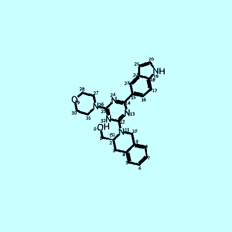 OC[C@@H]1Cc2ccccc2CN1c1nc(-c2ccc3[nH]ccc3c2)nc(N2CCOCC2)n1